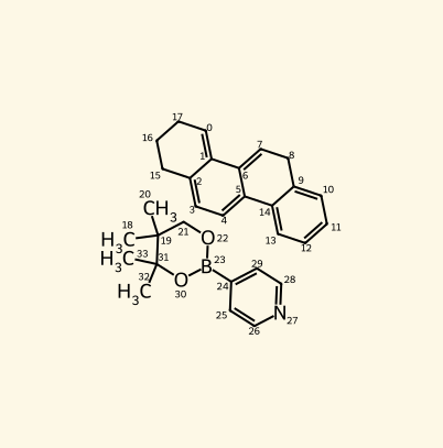 C1=c2c(ccc3c2=CCc2ccccc2-3)CCC1.CC1(C)COB(c2ccncc2)OC1(C)C